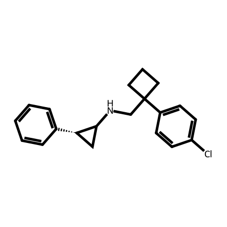 Clc1ccc(C2(CNC3C[C@@H]3c3ccccc3)CCC2)cc1